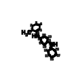 CC1CC=CC=C1Nc1ccc(Nc2ccccc2)cc1